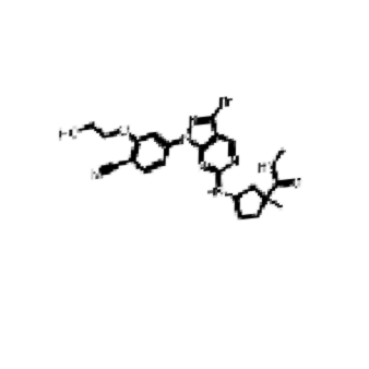 CNC(=O)[C@]1(C)CC[C@@H](Nc2ncc3c(Br)nn(-c4ccc(C#N)c(OCCO)c4)c3n2)C1